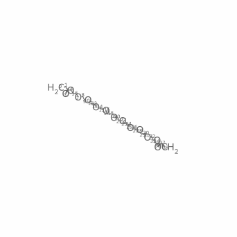 C=CC(=O)OCCOCCOCCOCCOCCOCCOCCOCCOCCOCCOC(=O)C=C